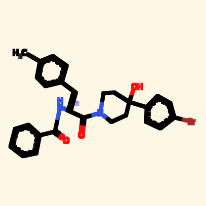 Cc1ccc(/C=C(\NC(=O)c2ccccc2)C(=O)N2CCC(O)(c3ccc(Br)cc3)CC2)cc1